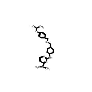 CC(C)Oc1ccc(CNCC2CCC(Nc3nccc(N(C)C)n3)CC2)cc1